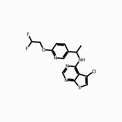 CC(Nc1ncnc2scc(Cl)c12)c1ccc(OCC(F)F)nc1